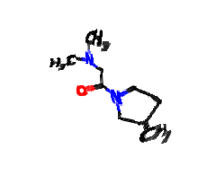 CC1CCN(C(=O)CN(C)C)C1